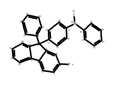 Fc1ccc2c(c1)C(c1ccccc1)(c1ccc(N(I)c3ccccc3)cc1)c1ccccc1-2